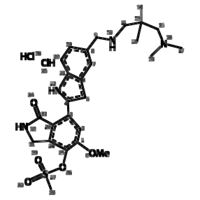 COc1cc(-c2cc3cc(CNCC(C)(C)CN(C)C)ccc3[nH]2)c2c(c1OS(C)(=O)=O)CNC2=O.Cl.Cl